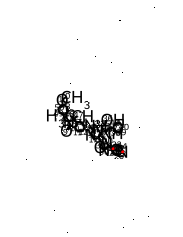 COc1ccc(CN2C(=O)c3ccc(Nc4ncc(-c5nc(C67CCN(CC6)CC7)no5)c(N[C@H](CO)c5ccccc5)n4)cc3C2(C)C)cc1